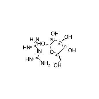 N=C(N)NC(=N)N.OC[C@H]1OC(O)[C@H](O)[C@@H](O)[C@@H]1O